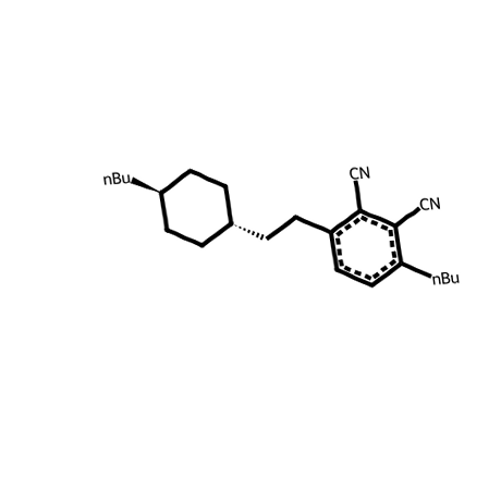 CCCCc1ccc(CC[C@H]2CC[C@H](CCCC)CC2)c(C#N)c1C#N